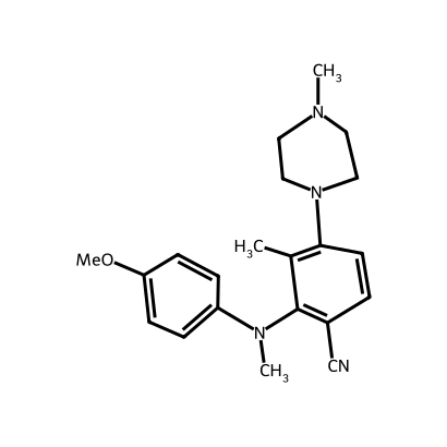 COc1ccc(N(C)c2c(C#N)ccc(N3CCN(C)CC3)c2C)cc1